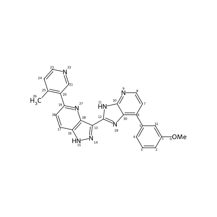 COc1cccc(-c2ccnc3[nH]c(-c4n[nH]c5ccc(-c6cnccc6C)nc45)nc23)c1